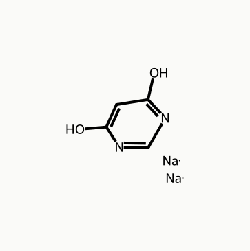 Oc1cc(O)ncn1.[Na].[Na]